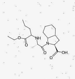 CCCC(N[C@@H](C)C(=O)N1C2CCCCC2C[C@H]1C(=O)O)C(=O)OCC